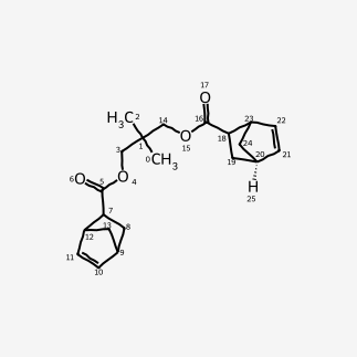 CC(C)(COC(=O)C1CC2C=CC1C2)COC(=O)C1C[C@@H]2C=CC1C2